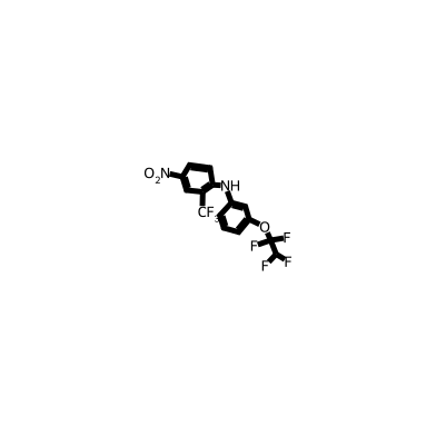 O=[N+]([O-])c1ccc(Nc2cccc(OC(F)(F)C(F)F)c2)c(C(F)(F)F)c1